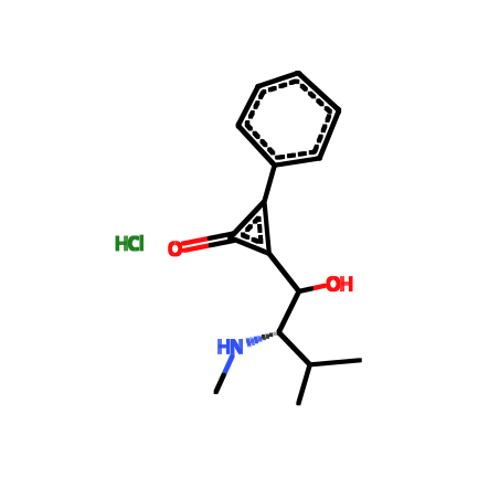 CN[C@@H](C(C)C)C(O)c1c(-c2ccccc2)c1=O.Cl